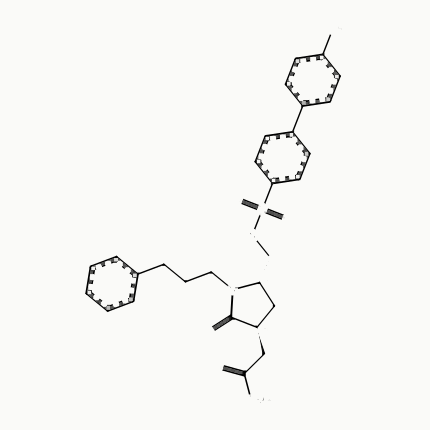 COC(=O)C[C@@H]1C[C@@H](CNS(=O)(=O)c2ccc(-c3ccc(C#N)cc3)cc2)N(CCCc2ccccc2)C1=O